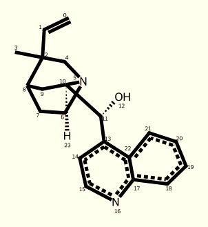 C=CC1(C)CN2CCC1C[C@@H]2[C@H](O)c1ccnc2ccccc12